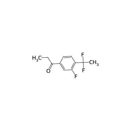 CCC(=O)c1ccc(C(C)(F)F)c(F)c1